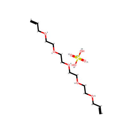 C=CCOCCOCCOCCOCCOCC=C.O=S(=O)(O)O